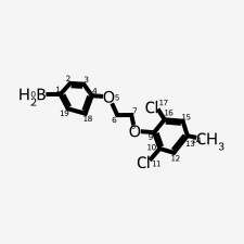 Bc1ccc(OCCOc2c(Cl)cc(C)cc2Cl)cc1